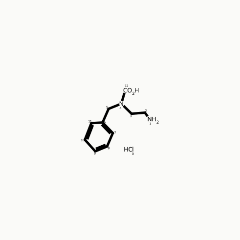 Cl.NCCN(Cc1ccccc1)C(=O)O